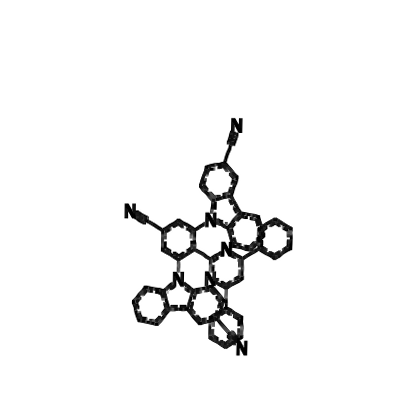 N#Cc1cc(-n2c3ccccc3c3cc(C#N)ccc32)c(-c2nc(-c3ccccc3)cc(-c3ccccc3)n2)c(-n2c3ccccc3c3cc(C#N)ccc32)c1